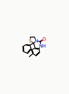 Cc1ccc2c(c1)C1(c3ccccc3)SCCN1C(=O)N2